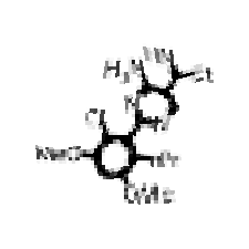 CCCc1c(OC)cc(OC)c(Cl)c1-c1ncc(C(=N)CC)c(N)n1